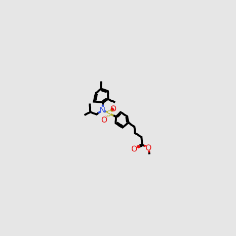 COC(=O)CCCc1ccc(S(=O)(=O)N(CC(C)C)c2ccc(C)cc2C)cc1